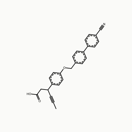 CC#CC(CC(=O)O)c1ccc(OCc2ccc(-c3ccc(C#N)cc3)cc2)cc1